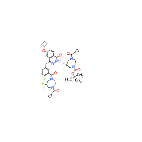 CC(C)(C)OC(=O)N1CCN(C(=O)C2CC2)CC(F)(F)C1.O=C(c1cc(Cc2n[nH]c(=O)c3ccc(OC4CCC4)cc23)ccc1F)N1CCN(C(=O)C2CC2)CC(F)(F)C1